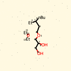 CCCCC(CC)CCOCC(O)CO.CCOCC